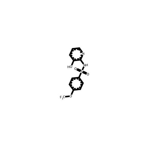 O=S(=O)(Nc1ncccc1O)c1ccc(OC(F)(F)F)cc1